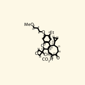 CCc1cc2c(cc1OCCCOC)OC(C1(C)COC1)C1=C2C(C2CC2)CCC(=O)/C(C(=O)O)=C\1